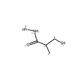 CCCNC(=O)C(C)CS